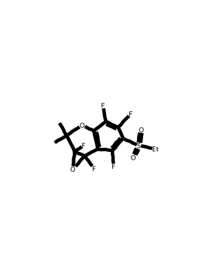 CCS(=O)(=O)c1c(F)c(F)c2c(c1F)C1(F)OC1(F)C(C)(C)O2